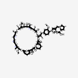 CO[C@H]1C[C@@H]2CC[C@@H](C)[C@@](O)(O2)C(=O)C(=O)N2CCCC[C@H]2C(=O)O[C@H]([C@H](C)C[C@@H]2CC[C@H](n3cc(CN4CCC[C@@H]4C(=O)O)nn3)[C@H](OC)C2)CC(=O)[C@H](C)/C=C(\C)[C@@H](O)[C@@H](OC)C(=O)[C@H](C)C[C@H](C)/C=C/C=C/C=C/1C